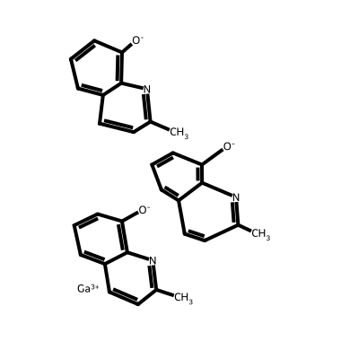 Cc1ccc2cccc([O-])c2n1.Cc1ccc2cccc([O-])c2n1.Cc1ccc2cccc([O-])c2n1.[Ga+3]